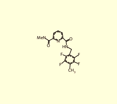 CNC(=O)c1cccc(C(=O)NCc2c(F)c(F)c(C)c(F)c2F)n1